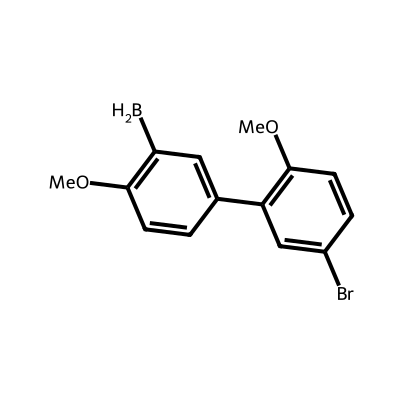 Bc1cc(-c2cc(Br)ccc2OC)ccc1OC